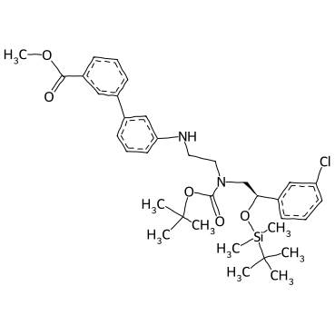 COC(=O)c1cccc(-c2cccc(NCCN(C[C@H](O[Si](C)(C)C(C)(C)C)c3cccc(Cl)c3)C(=O)OC(C)(C)C)c2)c1